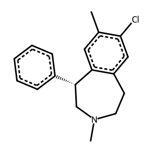 Cc1cc2c(cc1Cl)CCN(C)C[C@@H]2c1ccccc1